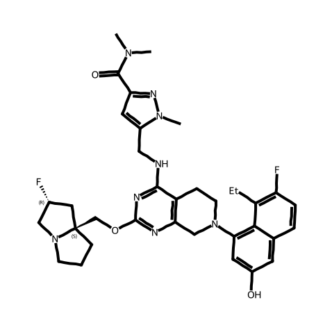 CCc1c(F)ccc2cc(O)cc(N3CCc4c(nc(OC[C@@]56CCCN5C[C@H](F)C6)nc4NCc4cc(C(=O)N(C)C)nn4C)C3)c12